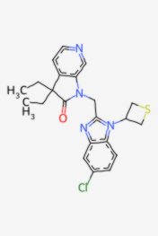 CCC1(CC)C(=O)N(Cc2nc3cc(Cl)ccc3n2C2CSC2)c2cnccc21